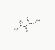 C=C(C)C(=O)[Si](=O)O[SiH3]